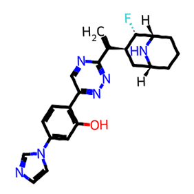 C=C(c1ncc(-c2ccc(-n3ccnc3)cc2O)nn1)[C@@H]1C[C@H]2CCC[C@H](N2)[C@H]1F